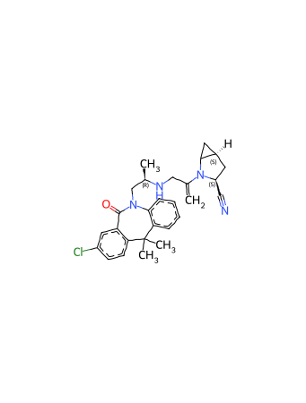 C=C(CN[C@H](C)CN1C(=O)c2cc(Cl)ccc2C(C)(C)c2ccccc21)N1C2C[C@H]2C[C@H]1C#N